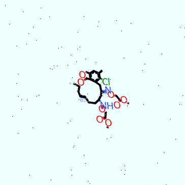 COC(=O)CO/N=C1/Cc2c(Cl)c(C)cc(C)c2C(=O)OC(C)C/C=C/CCC(NOCC(=O)OC)C1